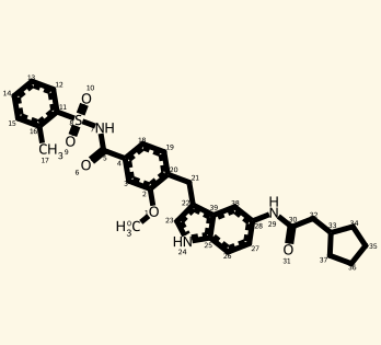 COc1cc(C(=O)NS(=O)(=O)c2ccccc2C)ccc1Cc1c[nH]c2ccc(NC(=O)CC3CCCC3)cc12